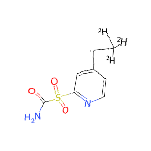 [2H]C([2H])([2H])[CH]c1ccnc(S(=O)(=O)C(N)=O)c1